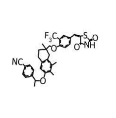 Cc1c(OC(C)c2ccc(C#N)cc2)cc2c(c1C)CC(C)(COc1ccc(C=C3SC(=O)NC3=O)cc1C(F)(F)F)CC2